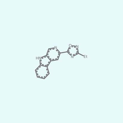 CCc1noc(-c2cc3c(cn2)[nH]c2ccccc23)n1